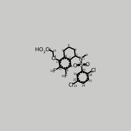 CN(C1CCCc2c1cc(F)c(F)c2OCC(=O)O)S(=O)(=O)c1cc(Cl)ccc1Cl